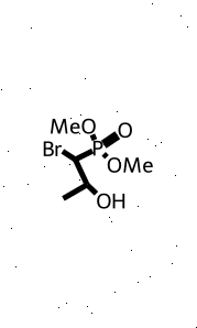 COP(=O)(OC)C(Br)C(C)O